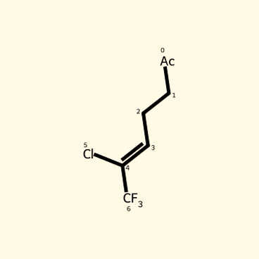 CC(=O)CC/C=C(\Cl)C(F)(F)F